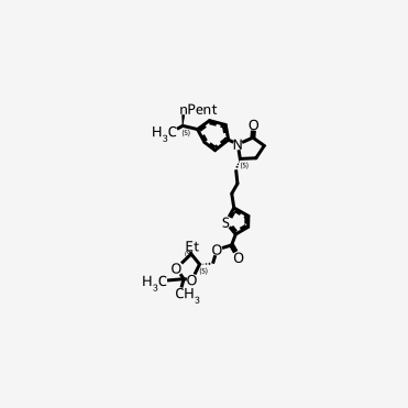 CCCCC[C@H](C)c1ccc(N2C(=O)CC[C@@H]2CCCc2ccc(C(=O)OC[C@@H]3OC(C)(C)O[C@H]3CC)s2)cc1